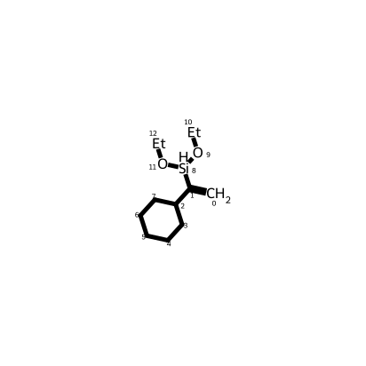 C=C(C1CCCCC1)[SiH](OCC)OCC